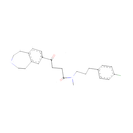 CN(CCCc1ccc(Cl)cc1)C(=O)CCC(=O)c1ccc2c(c1)CCNCC2.Cl